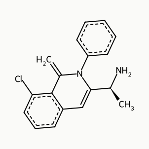 C=C1c2c(Cl)cccc2C=C([C@H](C)N)N1c1ccccc1